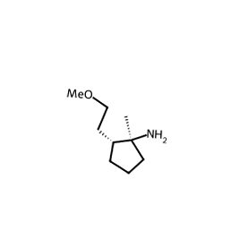 COCC[C@H]1CCC[C@]1(C)N